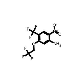 Nc1cc(OCC(F)(F)F)c(C(F)(F)F)cc1[N+](=O)[O-]